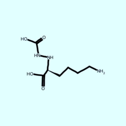 NCCCC[C@H](NNC(=O)O)C(=O)O